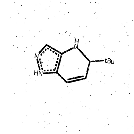 CC(C)(C)C1C=Cc2[nH]ncc2N1